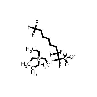 CC[N+](CC)(CC)CC.O=S(=O)([O-])C(F)(F)C(F)(F)CCCCCC(F)(F)F